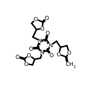 C=C1OCC(Cn2c(=O)n(CC3COC(=O)O3)c(=O)n(CC3COC(=O)O3)c2=O)O1